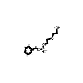 O=[PH](OCCOCCO)OCc1ccccc1